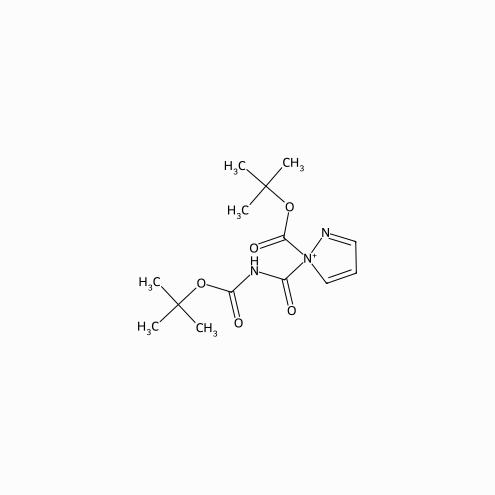 CC(C)(C)OC(=O)NC(=O)[N+]1(C(=O)OC(C)(C)C)C=CC=N1